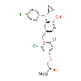 COC(=O)COc1cc(Cl)c(Cc2ccc(O)c(C(c3ccc(F)cc3)C3CC3)c2)c(Cl)c1